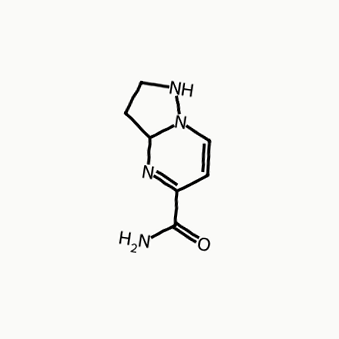 NC(=O)C1=NC2CCNN2C=C1